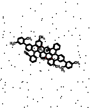 Cc1ccc(C)c(-c2ccc(N(C3=C4C=CC5=C6C(=CC=C(C=C3)C46)C(N(c3ccccc3C#N)c3ccc(-c4cc(C)ccc4C)cc3-c3cc(C)ccc3C)C=C5)c3ccccc3C#N)c(-c3cc(C)ccc3C)c2)c1